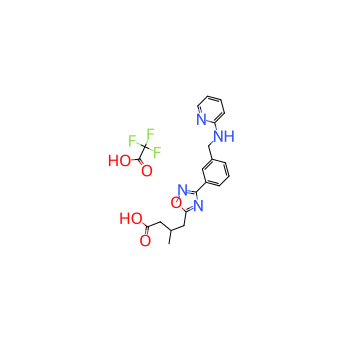 CC(CC(=O)O)Cc1nc(-c2cccc(CNc3ccccn3)c2)no1.O=C(O)C(F)(F)F